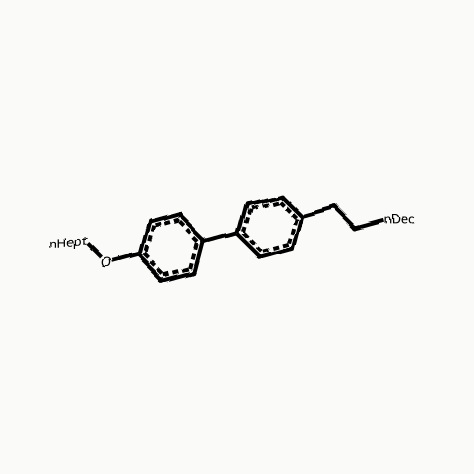 CCCCCCCCCCCCc1ccc(-c2ccc(OCCCCCCC)cc2)cc1